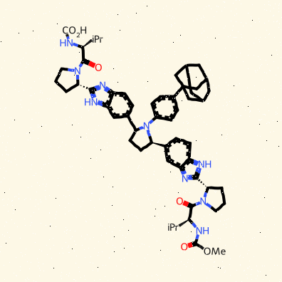 COC(=O)N[C@H](C(=O)N1CCC[C@H]1c1nc2cc([C@H]3CCC(c4ccc5nc([C@@H]6CCCN6C(=O)[C@@H](NC(=O)O)C(C)C)[nH]c5c4)N3c3ccc(C45CC6CC(CC(C6)C4)C5)cc3)ccc2[nH]1)C(C)C